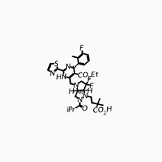 CCOC(=O)C1=C(CN2CC(F)(F)[C@H]3[C@@H]2CN(C(=O)C(C)C)N3CCC(C)(C)C(=O)O)NC(c2nccs2)=N[C@H]1c1cccc(F)c1C